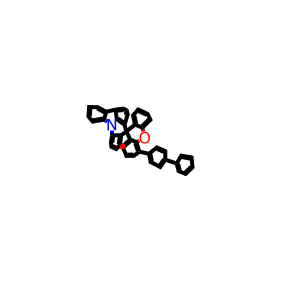 c1ccc(-c2ccc(-c3cccc4c3Oc3ccccc3C43c4ccccc4-n4c5ccccc5c5cccc3c54)cc2)cc1